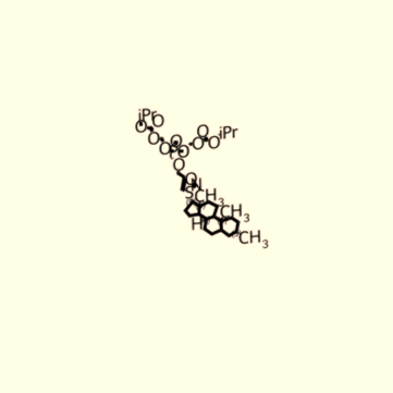 CC(C)OC(=O)OCOP(=O)(COCC1=CS([C@H]2CCC3[C@@H]4CCC5C[C@@H](C)CC[C@]5(C)C4CC[C@@]32C)=NO1)OCOC(=O)OC(C)C